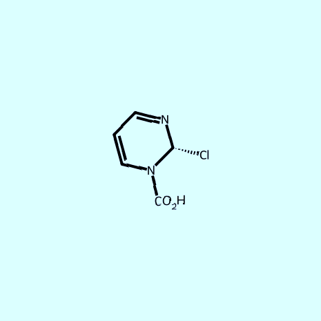 O=C(O)N1C=CC=N[C@@H]1Cl